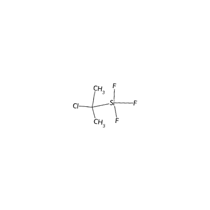 CC(C)(Cl)[Si](F)(F)F